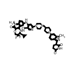 Cn1nc(C2CCC(=O)NC2=O)c2ccc(N3CCC(CN4CCN(c5cc(Nc6ccc7c(c6)c6c(c(=O)n7C)OCC(F)(F)C(C7CC7)N6)c(Cl)cn5)CC4)CC3)cc21